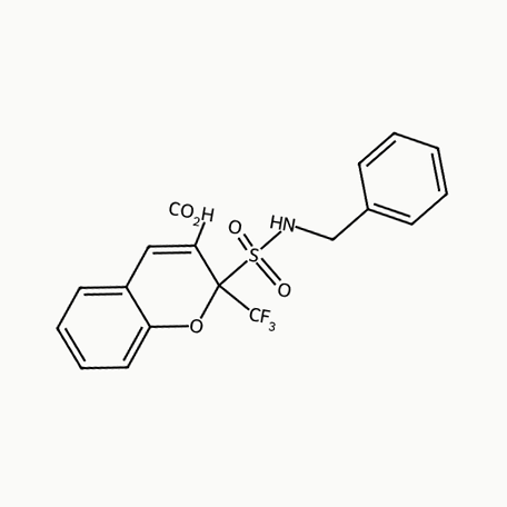 O=C(O)C1=Cc2ccccc2OC1(C(F)(F)F)S(=O)(=O)NCc1ccccc1